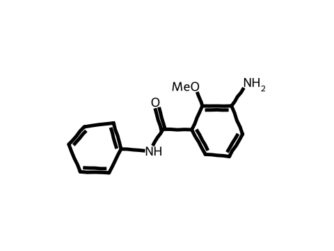 COc1c(N)cccc1C(=O)Nc1ccccc1